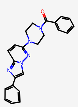 O=C(c1ccccc1)N1CCN(c2ccc3nc(-c4ccccc4)cn3n2)CC1